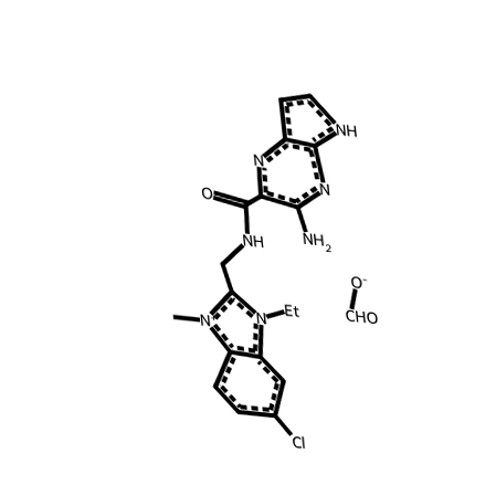 CCn1c(CNC(=O)c2nc3cc[nH]c3nc2N)[n+](C)c2ccc(Cl)cc21.O=C[O-]